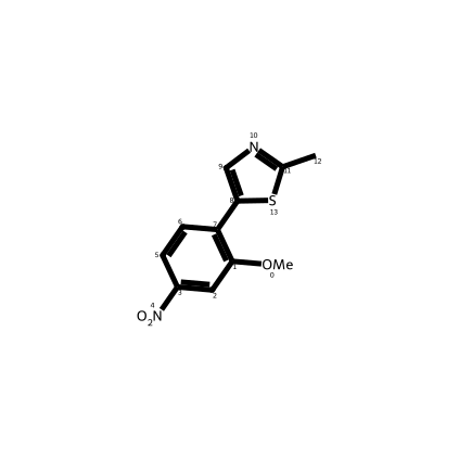 COc1cc([N+](=O)[O-])ccc1-c1cnc(C)s1